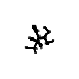 CSC(SC)=C(C#N)S(=O)(=O)C(C)C